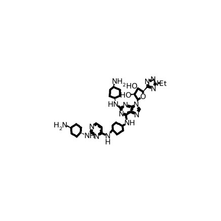 CCn1nnc([C@H]2O[C@@H](n3cnc4c(NC5CCC(Nc6ccnc(N[C@H]7CC[C@H](N)CC7)n6)CC5)nc(N[C@H]5CC[C@H](N)CC5)nc43)[C@@H](O)[C@H]2O)n1